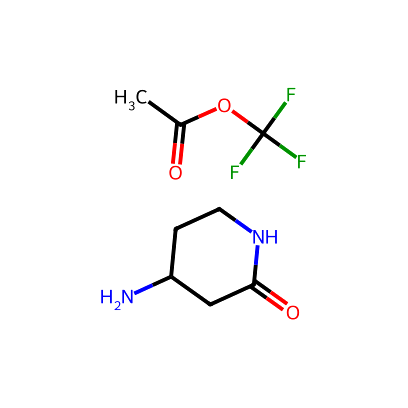 CC(=O)OC(F)(F)F.NC1CCNC(=O)C1